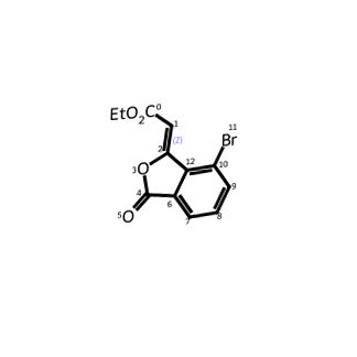 CCOC(=O)/C=C1\OC(=O)c2cccc(Br)c21